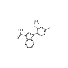 NCc1cc(Cl)ccc1-n1cc(C(=O)O)c2ccccc21